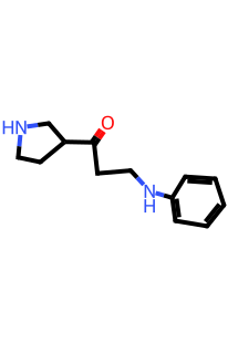 O=C(CCNc1ccccc1)C1CCNC1